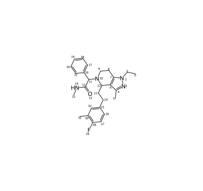 CCn1nc(C)c2c1CCN(C(C(=O)NC)c1ccccc1)C2CCc1ccc(F)c(C)c1